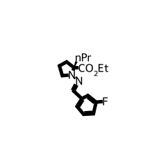 CCC[C@]1(C(=O)OCC)CCCN1N=Cc1cccc(F)c1